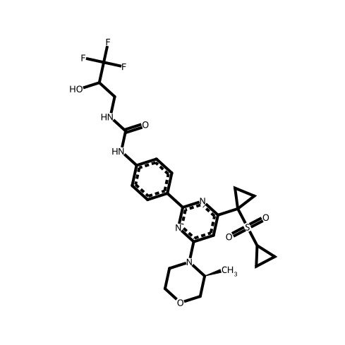 C[C@H]1COCCN1c1cc(C2(S(=O)(=O)C3CC3)CC2)nc(-c2ccc(NC(=O)NCC(O)C(F)(F)F)cc2)n1